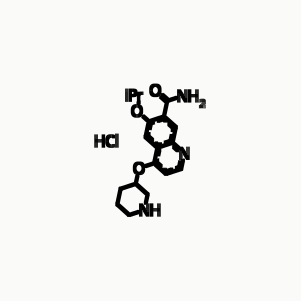 CC(C)Oc1cc2c(OC3CCCNC3)ccnc2cc1C(N)=O.Cl